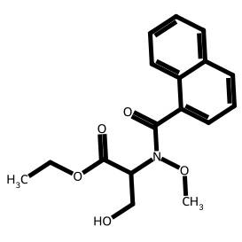 CCOC(=O)C(CO)N(OC)C(=O)c1cccc2ccccc12